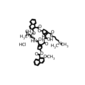 COc1ccc2ccccc2c1C(=O)OC1CC2CC1C(C(=O)NC(=O)C1C3CC(CC3OC(=O)c3c(OC)ccc4ccccc34)C1C(=O)NCCCN(C)C)C2C(=O)NCCCN(C)C.Cl